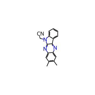 Cc1cc2nc3c4ccccc4n(CC#N)c3nc2cc1C